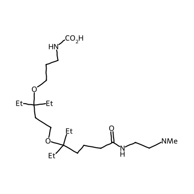 CCC(CC)(CCCC(=O)NCCNC)OCCC(CC)(CC)OCCCNC(=O)O